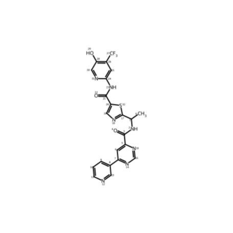 CC(NC(=O)c1cc(-c2cccnc2)ncn1)c1ncc(C(=O)Nc2cc(C(F)(F)F)c(O)cn2)s1